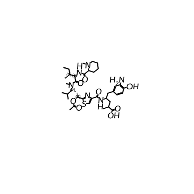 CC[C@H](C)[C@H](NC(=O)C1CCCCN1C)C(=O)N(C)[C@H](C[C@@H](OC(C)=O)c1nc(C(=O)NC(Cc2ccc(O)c(N)c2)CC(C)C(=O)O)cs1)C(C)C